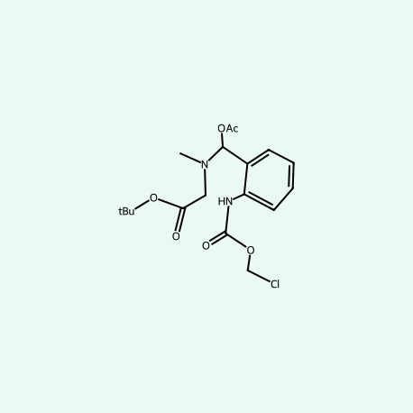 CC(=O)OC(c1ccccc1NC(=O)OCCl)N(C)CC(=O)OC(C)(C)C